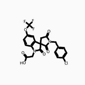 O=C(O)CN1C(=O)C2(CC(=O)N(Cc3ccc(Cl)cc3)C2=O)c2cc(OC(F)(F)F)ccc21